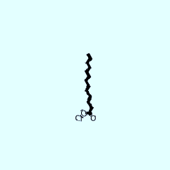 CCCCCCCCCCCCC(=O)OCl